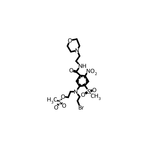 CS(=O)(=O)OCCN(CCBr)c1cc(C(=O)NCCN2CCOCC2)c([N+](=O)[O-])cc1S(C)(=O)=O